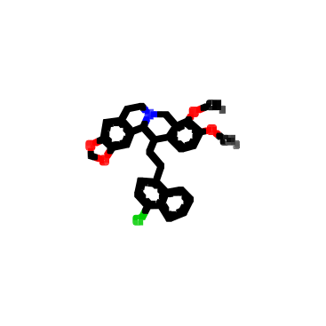 COc1ccc2c(c1OC)CN1CCc3cc4c(cc3C1C2CCc1ccc(Cl)c2ccccc12)OCO4